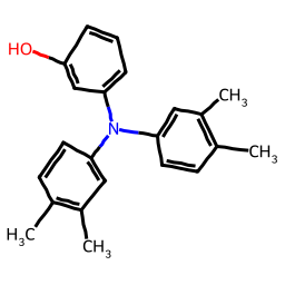 Cc1ccc(N(c2cccc(O)c2)c2ccc(C)c(C)c2)cc1C